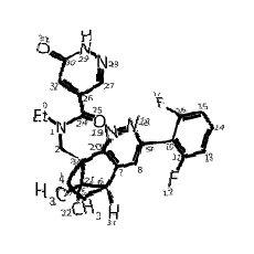 CCN(C[C@@]12CC[C@@H](c3cc(-c4c(F)cccc4F)nnc31)C2(C)C)C(=O)c1cn[nH]c(=O)c1